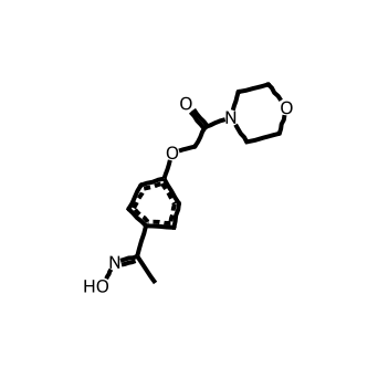 C/C(=N\O)c1ccc(OCC(=O)N2CCOCC2)cc1